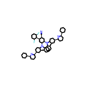 N#Cc1cc(-n2c3ccccc3c3cc(-c4cccc(-c5ccccc5)n4)ccc32)c(-n2c3ccccc3c3cc(-c4cccc(-c5ccccc5)n4)ccc32)cc1-c1c(F)cccc1F